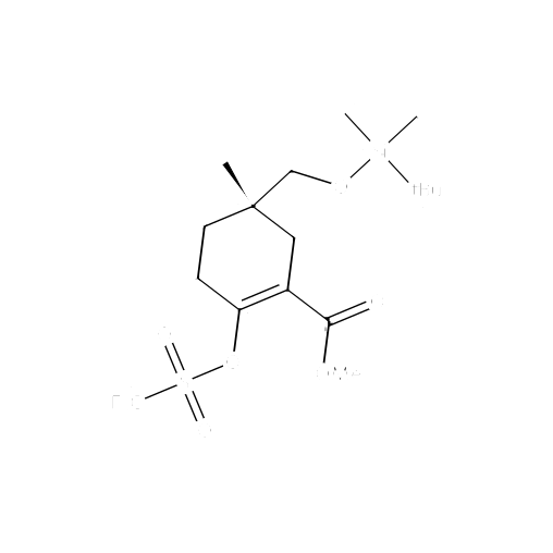 COC(=O)C1=C(OS(=O)(=O)C(F)(F)F)CC[C@](C)(CO[Si](C)(C)C(C)(C)C)C1